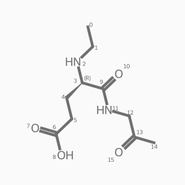 CCN[C@H](CCC(=O)O)C(=O)NCC(C)=O